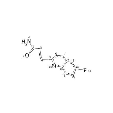 NC(=O)C=Cc1ccc2cc(F)ccc2n1